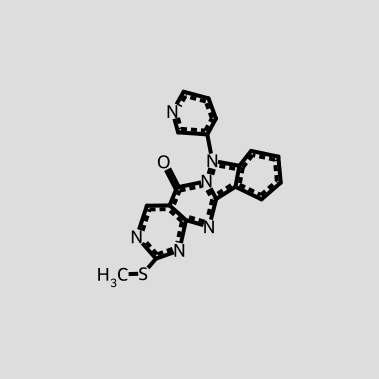 CSc1ncc2c(=O)n3c(nc2n1)c1ccccc1n3-c1cccnc1